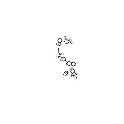 Cn1c(=O)n(C)c2c(N3CC4CC(C3)O4)nc(-c3cccc4cc(-c5ccc(C(=O)NCC#Cc6cc7c(C8CCC(=O)NC8=O)cccc7o6)nc5)ncc34)cc21